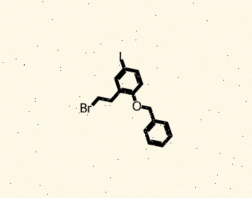 BrCCc1cc(I)ccc1OCc1ccccc1